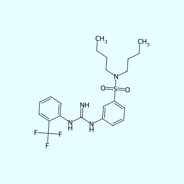 CCCCN(CCCC)S(=O)(=O)c1cccc(NC(=N)Nc2ccccc2C(F)(F)F)c1